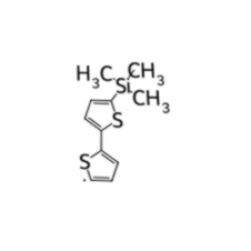 C[Si](C)(C)c1ccc(-c2cc[c]s2)s1